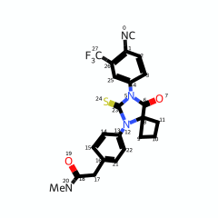 [C-]#[N+]c1ccc(N2C(=O)C3(CCC3)N(c3ccc(CC(=O)NC)cc3)C2=S)cc1C(F)(F)F